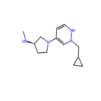 CN[C@@H]1CCN(C2=CN(CC3CC3)NC=C2)C1